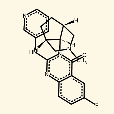 CN1C[C@H]2CC[C@@H](C1)[C@@H]2n1c(Nc2cccnc2)nc2ccc(F)cc2c1=O